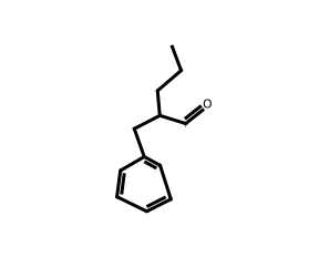 CCCC([C]=O)Cc1ccccc1